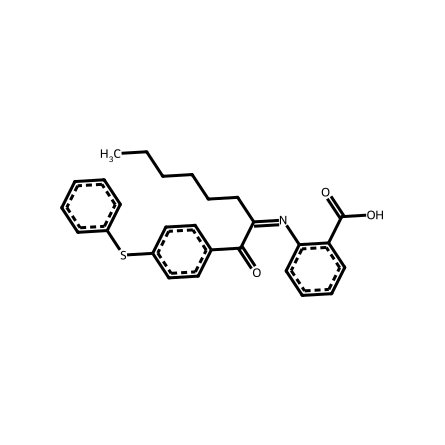 CCCCCCC(=Nc1ccccc1C(=O)O)C(=O)c1ccc(Sc2ccccc2)cc1